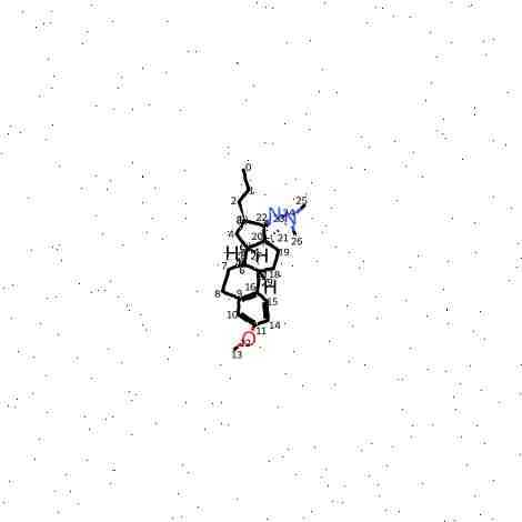 CCC[C@@H]1C[C@H]2[C@@H]3CCc4cc(OC)ccc4[C@H]3CC[C@]2(C)C1=NN(C)C